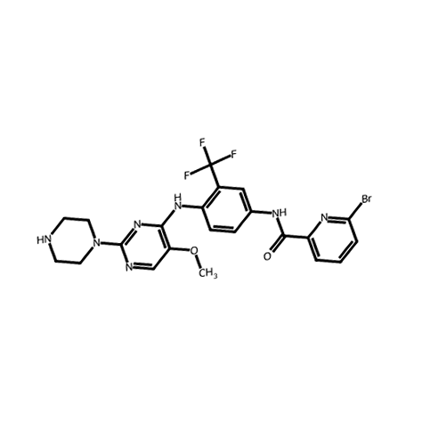 COc1cnc(N2CCNCC2)nc1Nc1ccc(NC(=O)c2cccc(Br)n2)cc1C(F)(F)F